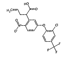 C=CCC(C(=O)O)c1cc(Oc2ccc(C(F)(F)F)cc2Cl)ccc1[N+](=O)[O-]